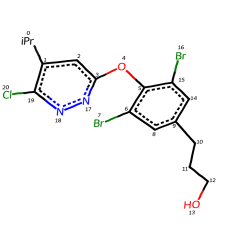 CC(C)c1cc(Oc2c(Br)cc(CCCO)cc2Br)nnc1Cl